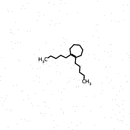 CCCCCC1=C(CCCCC)CCCCC1